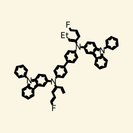 C=C/C(=C\C=C\F)N(c1ccc(-c2ccc(N(C(/C=C\CF)=C/CC)c3ccc4c(c3)c3ccccc3n4-c3ccccc3)cc2)cc1)c1ccc2c(c1)c1ccccc1n2-c1ccccc1